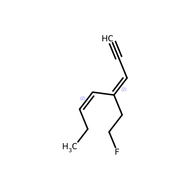 C#C/C=C(\C=C/CC)CCF